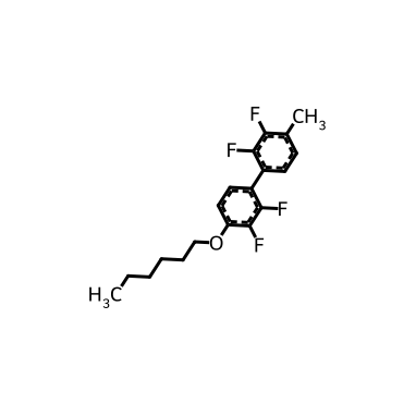 CCCCCCOc1ccc(-c2ccc(C)c(F)c2F)c(F)c1F